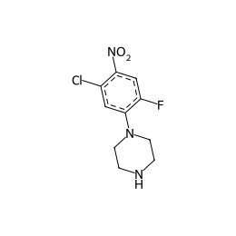 O=[N+]([O-])c1cc(F)c(N2CCNCC2)cc1Cl